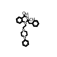 CC1(Cc2ccccc2)NC(=O)c2ccccc2N1CCN1CCN(c2ccccc2)CC1